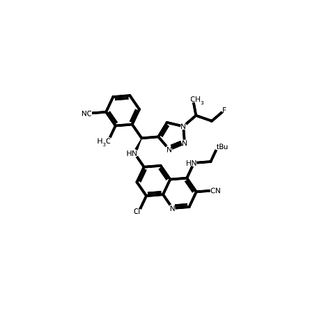 Cc1c(C#N)cccc1[C@H](Nc1cc(Cl)c2ncc(C#N)c(NCC(C)(C)C)c2c1)c1cn(C(C)CF)nn1